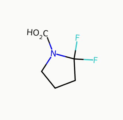 O=C(O)N1CCCC1(F)F